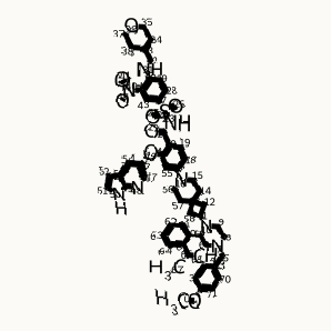 COc1ccc(CN2CCN(C3CC4(CCN(c5ccc(C(=O)NS(=O)(=O)c6ccc(NCC7CCOCC7)c([N+](=O)[O-])c6)c(Oc6cnc7[nH]ccc7c6)c5)CC4)C3)[C@H](c3ccccc3C(C)C)C2)cc1